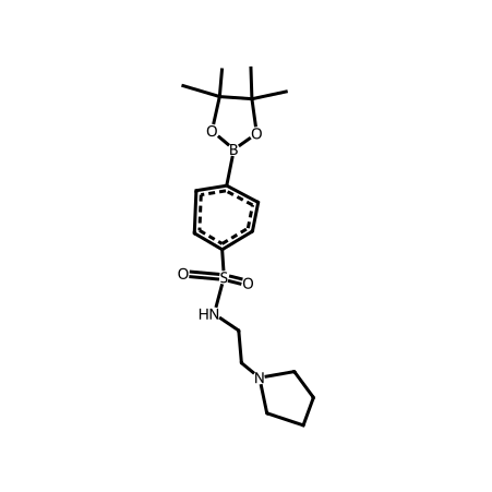 CC1(C)OB(c2ccc(S(=O)(=O)NCCN3CCCC3)cc2)OC1(C)C